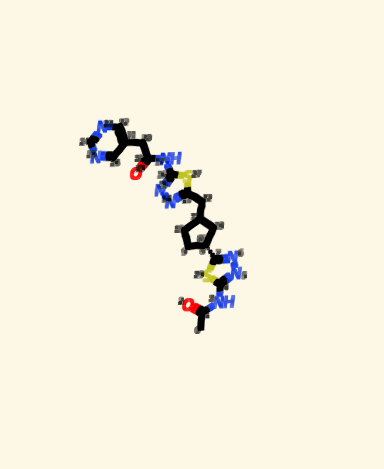 CC(=O)Nc1nnc([C@@H]2CCC(Cc3nnc(NC(=O)Cc4cncnc4)s3)C2)s1